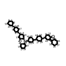 c1ccc(-c2ccc(-c3ccc4c(c3)Sc3ccccc3N4c3ccc(-c4ccc(-c5ccc6oc7ccccc7c6c5)cc4)cc3)cc2)cc1